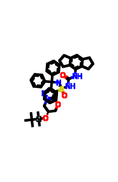 CC(C)(C)[Si](C)(C)O[C@H]1COc2c(S(=O)(=NC(c3ccccc3)(c3ccccc3)c3ccccc3)NC(=O)Nc3c4c(cc5c3CCC5)CCC4)cnn2C1